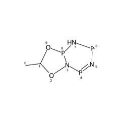 CC1ON2P=N[P]NP2O1